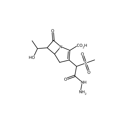 CC(O)C1C(=O)N2C(C(=O)O)=C(C(C(=O)NN)S(C)(=O)=O)CC12